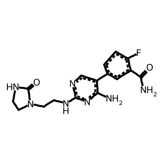 NC(=O)c1cc(-c2cnc(NCCN3CCNC3=O)nc2N)ccc1F